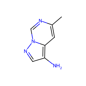 Cc1cc2c(N)cnn2cn1